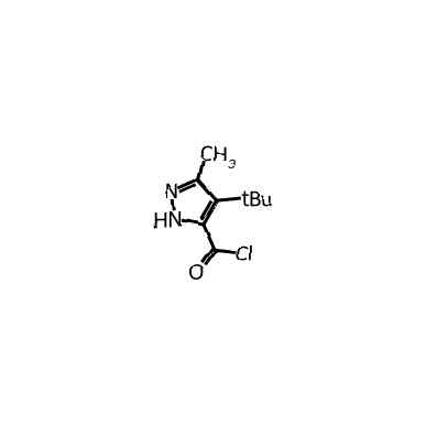 Cc1n[nH]c(C(=O)Cl)c1C(C)(C)C